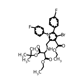 CCOC(=O)c1c(Br)c(-c2ccc(F)cc2)n(-c2ccc(F)cc2)c1CNC(C(=O)OCC)C(=O)OC(C)(C)C